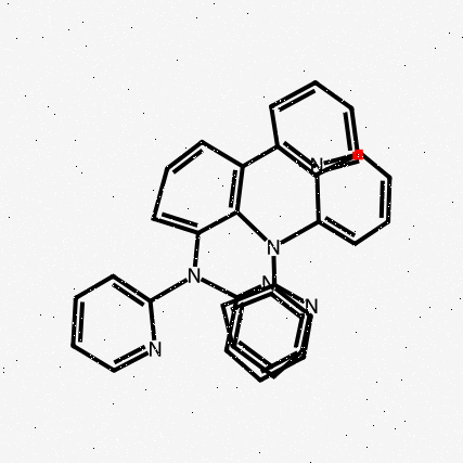 c1ccc(-c2cccc(N(c3ccccn3)c3ccccn3)c2N(c2ccccn2)c2ccccn2)cc1